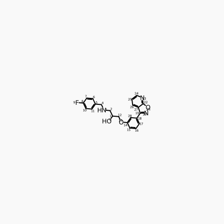 OC(CNCc1ccc(F)cc1)COc1cccc(-c2noc3ncccc23)c1